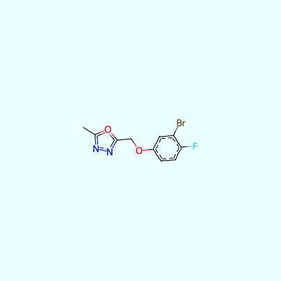 Cc1nnc(COc2ccc(F)c(Br)c2)o1